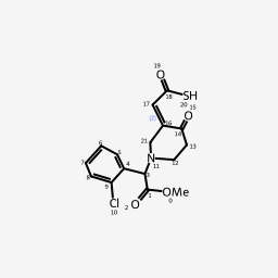 COC(=O)C(c1ccccc1Cl)N1CCC(=O)/C(=C\C(=O)S)C1